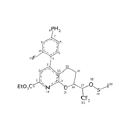 CCOC(=O)c1cc(-c2ccc(P)cc2F)c2c(n1)OC(C(OSI)C(F)(F)F)CC2